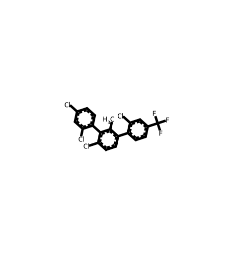 Cc1c(-c2ccc(C(F)(F)F)cc2Cl)c[c]c(Cl)c1-c1ccc(Cl)cc1Cl